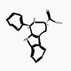 COC(=O)[C@@H]1Cc2c([nH]c3ccccc23)[C@@H](c2ccccc2)N1